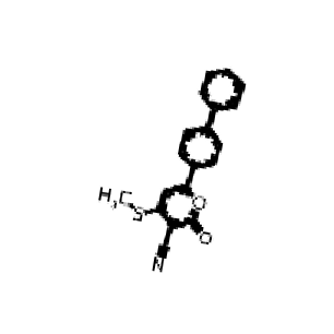 CSc1cc(-c2ccc(-c3ccccc3)cc2)oc(=O)c1C#N